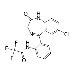 O=C1CN=C(c2ccccc2NC(=O)C(F)(F)F)c2cc(Cl)ccc2N1